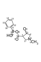 CN1CC(=O)C(C(=O)OB(O)c2ccccc2)C1